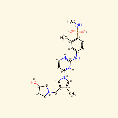 CNS(=O)(=O)c1ccc(Nc2nccc(-n3cc(C)c(CN4CCC(O)C4)c3)n2)cc1C